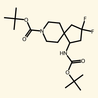 CC(C)(C)OC(=O)NC1CC(F)(F)CC12CCN(C(=O)OC(C)(C)C)CC2